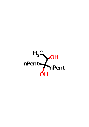 CCCCCC(O)(CCCCC)C(C)O